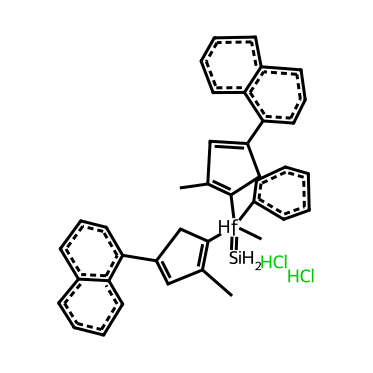 CC1=[C]([Hf]([CH3])(=[SiH2])([C]2=C(C)C=C(c3cccc4ccccc34)C2)[c]2ccccc2)CC(c2cccc3ccccc23)=C1.Cl.Cl